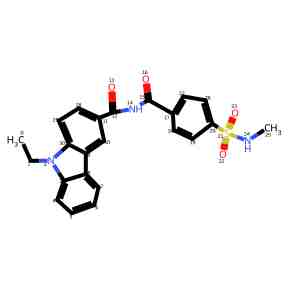 CCn1c2ccccc2c2cc(C(=O)NC(=O)c3ccc(S(=O)(=O)NC)cc3)ccc21